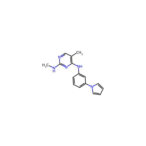 CNc1ncc(C)c(Nc2cccc(-n3cccc3)c2)n1